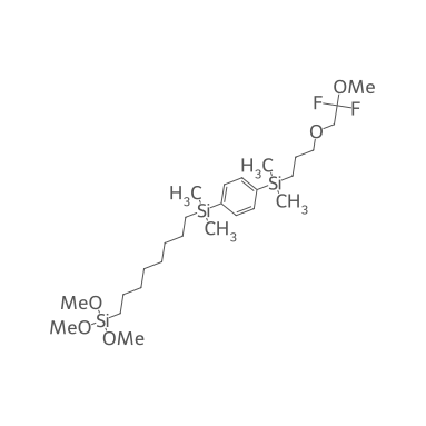 COC(F)(F)COCCC[Si](C)(C)c1ccc([Si](C)(C)CCCCCCCC[Si](OC)(OC)OC)cc1